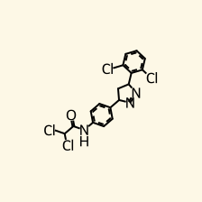 O=C(Nc1ccc(C2CC(c3c(Cl)cccc3Cl)N=N2)cc1)C(Cl)Cl